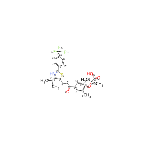 Cc1cc(C(=O)CCC2=C(C(C)C)NC(c3ccc(C(F)(F)F)cc3)S2)ccc1OC(C)(C)C(=O)O